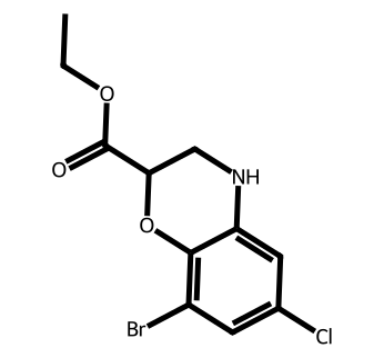 CCOC(=O)C1CNc2cc(Cl)cc(Br)c2O1